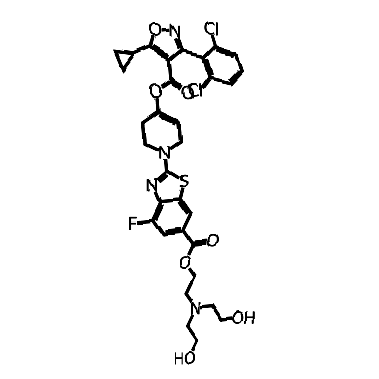 O=C(OCCN(CCO)CCO)c1cc(F)c2nc(N3CC=C(OC(=O)c4c(-c5c(Cl)cccc5Cl)noc4C4CC4)CC3)sc2c1